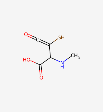 CNC(C(=O)O)C(S)=C=O